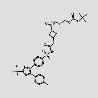 Cc1ccc(-c2cc(C(F)(F)F)nn2-c2ccc(S(=O)(=O)NC(=O)OC3CN(/[N+]([O-])=N\OCOC(=O)OC(C)(C)C)C3)cc2)cc1